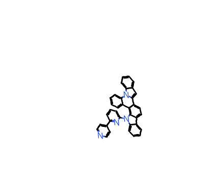 c1cc(-c2ccncc2)nc(-n2c3ccccc3c3ccc4c(c5ccccc5n5c6ccccc6cc45)c32)c1